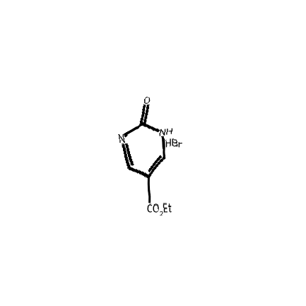 Br.CCOC(=O)c1cnc(=O)[nH]c1